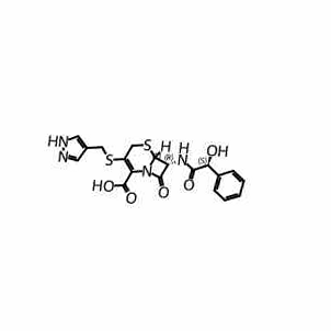 O=C(O)C1=C(SCc2cn[nH]c2)CS[C@@H]2[C@H](NC(=O)[C@@H](O)c3ccccc3)C(=O)N12